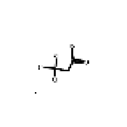 O=C([S])CC(Cl)(Cl)Cl